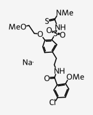 CNC(=S)NS(=O)(=O)c1cc(CCNC(=O)c2cc(Cl)ccc2OC)ccc1OCCOC.[Na]